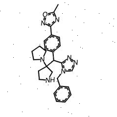 Cc1nc(-c2ccc(C(c3nncn3Cc3ccccc3)C3(N4CCCC4)CCNC3)cc2)no1